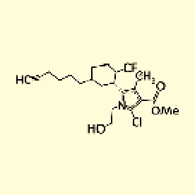 C#CCCCCC1CCC(C(F)(F)F)[C@H](c2c(C)c(C(=O)OC)c(Cl)n2CCO)C1